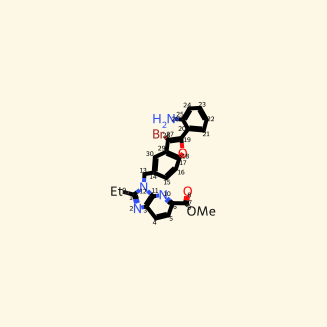 CCc1nc2ccc(C(=O)OC)nc2n1Cc1ccc2oc(-c3ccccc3N)c(Br)c2c1